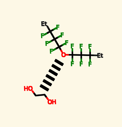 C=C.C=C.C=C.C=C.C=C.C=C.CCC(F)(F)C(F)(F)C(F)(F)OC(F)(F)C(F)(F)C(F)(F)CC.OCCO